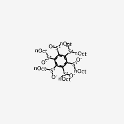 CCCCCCCC[S+]([O-])c1c([S+]([O-])CCCCCCCC)c([S+]([O-])CCCCCCCC)c([S+]([O-])CCCCCCCC)c([S+]([O-])CCCCCCCC)c1[S+]([O-])CCCCCCCC